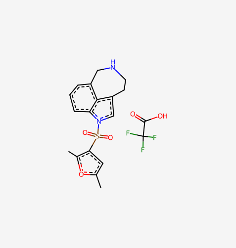 Cc1cc(S(=O)(=O)n2cc3c4c(cccc42)CNCC3)c(C)o1.O=C(O)C(F)(F)F